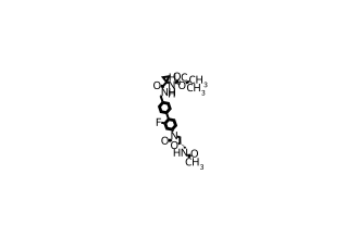 CC(=O)NC[C@H]1CN(c2ccc(-c3ccc(CNC(=O)C4(NC(=O)OC(C)(C)C)CC4)cc3)c(F)c2)C(=O)O1